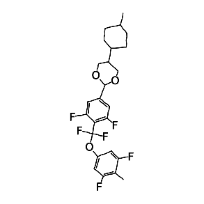 Cc1c(F)cc(OC(F)(F)c2c(F)cc(C3OCC(C4CCC(C)CC4)CO3)cc2F)cc1F